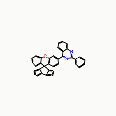 c1ccc(-c2nc(-c3ccc4c(c3)Oc3ccccc3C43c4ccccc4-c4ccccc43)c3ccccc3n2)cc1